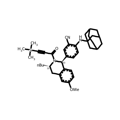 CCCC[C@H]1Cc2cc(OC)ccc2[C@H](c2ccc(NC34CC5CC(CC(C5)C3)C4)c(C#N)c2)N1C(=O)C#C[Si](C)(C)C